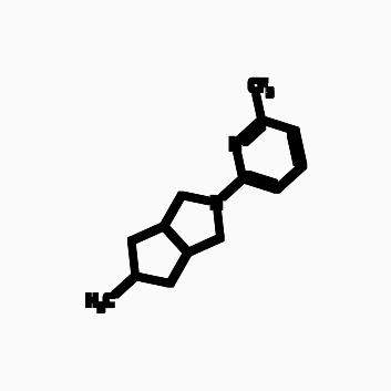 CC1CC2CN(c3cccc(C(F)(F)F)n3)CC2C1